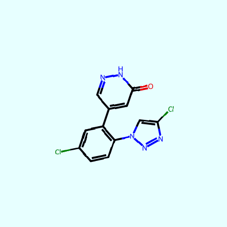 O=c1cc(-c2cc(Cl)ccc2-n2cc(Cl)nn2)cn[nH]1